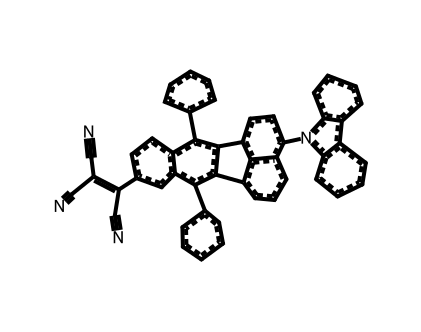 N#CC(C#N)=C(C#N)c1ccc2c(-c3ccccc3)c3c(c(-c4ccccc4)c2c1)-c1cccc2c(-n4c5ccccc5c5ccccc54)ccc-3c12